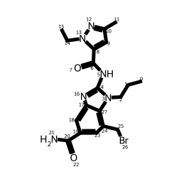 CCCn1c(NC(=O)c2cc(C)nn2CC)nc2cc(C(N)=O)cc(CBr)c21